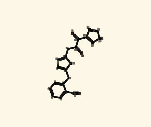 COc1ccccc1Cc1ccc(CC(=O)C(=O)c2nc[nH]n2)o1